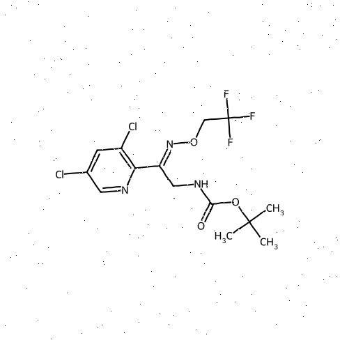 CC(C)(C)OC(=O)NCC(=NOCC(F)(F)F)c1ncc(Cl)cc1Cl